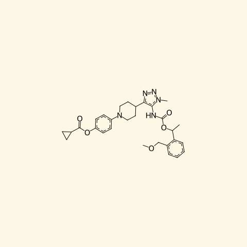 COCc1ccccc1C(C)OC(=O)Nc1c(C2CCN(c3ccc(OC(=O)C4CC4)cc3)CC2)nnn1C